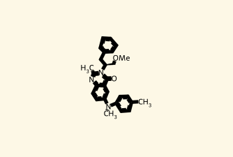 COC[C@H](Cc1ccccc1)n1c(C)nc2ccc(N(C)c3ccc(C)cc3)cc2c1=O